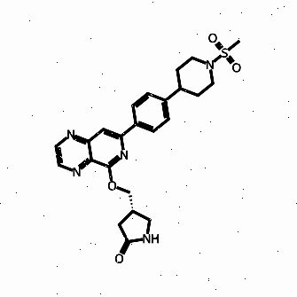 CS(=O)(=O)N1CCC(c2ccc(-c3cc4nccnc4c(OC[C@@H]4CNC(=O)C4)n3)cc2)CC1